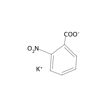 O=C([O-])c1ccccc1[N+](=O)[O-].[K+]